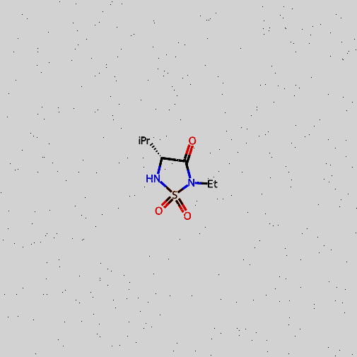 CCN1C(=O)[C@@H](C(C)C)NS1(=O)=O